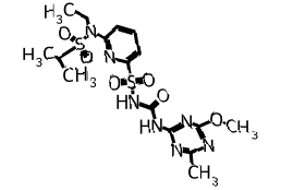 CCN(c1cccc(S(=O)(=O)NC(=O)Nc2nc(C)nc(OC)n2)n1)S(=O)(=O)C(C)C